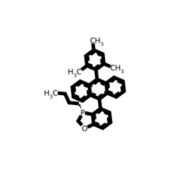 CCCC[P@@]1COc2cccc(-c3c4ccccc4c(-c4c(C)cc(C)cc4C)c4ccccc34)c21